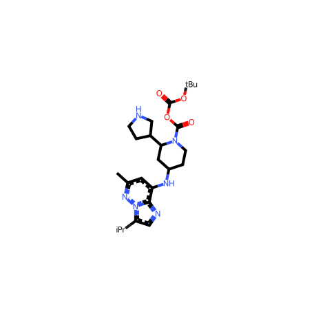 Cc1cc(NC2CCN(C(=O)OC(=O)OC(C)(C)C)C(C3CCNC3)C2)c2ncc(C(C)C)n2n1